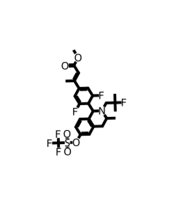 COC(=O)/C=C(\C)C1=CC(F)C(C2c3ccc(OS(=O)(=O)C(F)(F)F)cc3CC(C)N2CC(C)(C)F)C(F)=C1